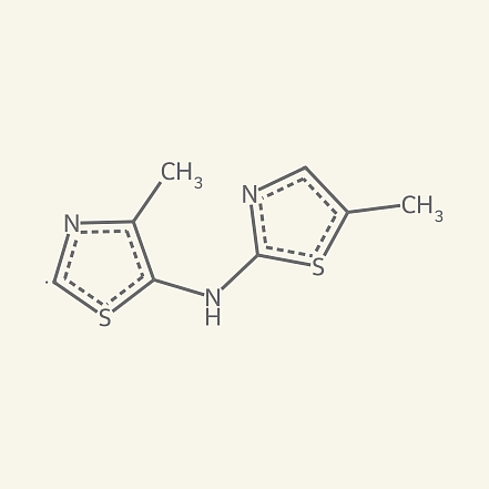 Cc1cnc(Nc2s[c]nc2C)s1